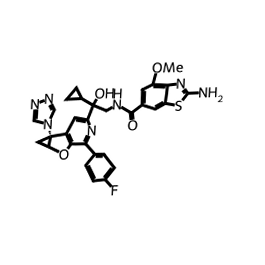 COc1cc(C(=O)NCC(O)(c2cc3c(c(-c4ccc(F)cc4)n2)OC2C[C@@]32n2cnnc2)C2CC2)cc2sc(N)nc12